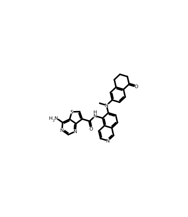 CN(c1ccc2c(c1)CCCC2=O)c1ccc2cnccc2c1NC(=O)c1csc2c(N)ncnc12